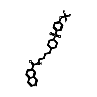 O=C(NCCCCC1CCN(S(=O)(=O)c2ccc(OC(F)(F)F)cc2)CC1)c1ccc2ccncc2c1